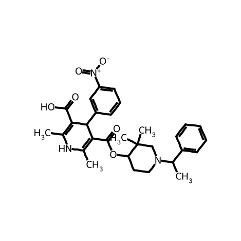 CC1=C(C(=O)O)C(c2cccc([N+](=O)[O-])c2)C(C(=O)OC2CCN(C(C)c3ccccc3)CC2(C)C)=C(C)N1